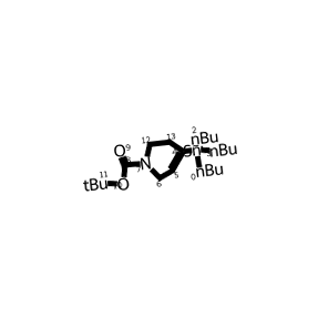 CCC[CH2][Sn]([CH2]CCC)([CH2]CCC)[C]1=CCN(C(=O)OC(C)(C)C)CC1